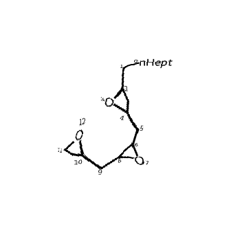 CCCCCCCCC1OC1CC1OC1CC1CO1